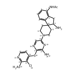 CC(=O)Nc1cccc2c1CC(N)C21CCN(c2cnc(Sc3ccnc([AsH2])c3Cl)c(N)n2)CC1